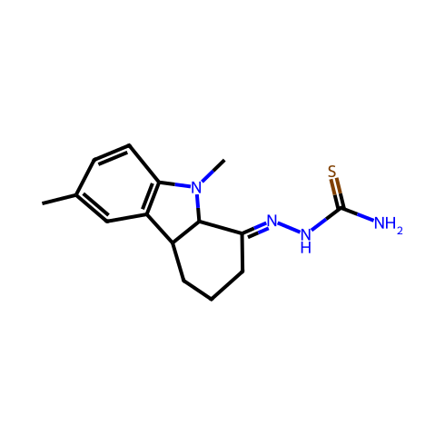 Cc1ccc2c(c1)C1CCC/C(=N\NC(N)=S)C1N2C